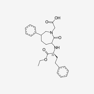 CCOC(=O)[C@H](CCc1ccccc1)NC1CCC(c2ccccc2)CN(CC(=O)O)C1=O